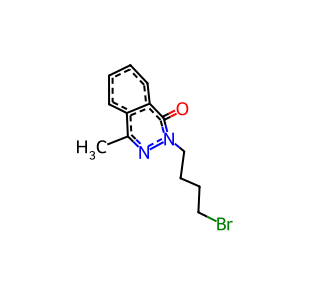 Cc1nn(CCCCBr)c(=O)c2ccccc12